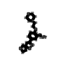 CCCOc1cc(C2=NOC3(CCOC3)C2)ccc1OCCN1CCOCC1